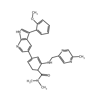 COc1ccccc1-c1c[nH]c2ncc(C3=CCC(C(=O)N(C)C)C(NCc4cnc(C)cn4)=C3)cc12